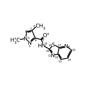 Cc1cn(C)nc1C(=O)Nc1nc2cccnc2s1